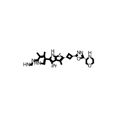 Cc1c(-c2[nH]c3sc([C@H]4C[C@H](c5nnc([C@H]6COCCN6)o5)C4)c(C)c3c2C(C)C)c[nH]/c(=N\C=N)c1C